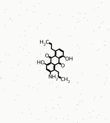 C=CCc1ccc(O)c2c1C(=O)c1c(O)cc(N)c(CC=C)c1C2=O